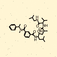 CC(C)CNC(=O)C(NC(=O)C(C)CC(O)C(CC(C)C)NC(=O)c1cccc(C(=O)N(C)C(C)c2ccccc2)c1)C(C)C